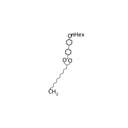 C=CCCCCCCCCCC1COC(c2ccc(-c3ccc(OCCCCCC)cc3)cc2)OC1